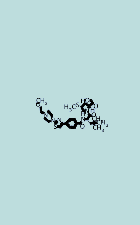 COCCN1CCN(c2nc(-c3ccc(C(=O)N[C@@H](CC(C)(C)C)C(=O)N4C[C@H](SC)[C@H]5OCC(=O)[C@H]54)cc3)cs2)CC1